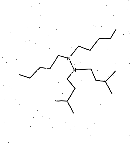 CCCCCN(CCCCC)N(CCC(C)C)CCC(C)C